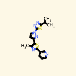 Cc1nc(-c2cccnc2)sc1-c1ccn(-c2nnc(C(C)C)s2)n1